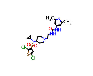 Cc1cc(NC(=O)NCCN2CCC(N(C3CC3)S(=O)(=O)c3cc(Cl)sc3Cl)CC2)cc(C)n1